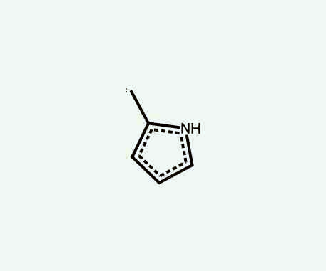 [CH]c1ccc[nH]1